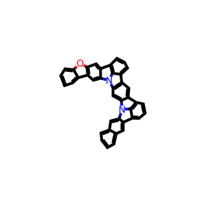 c1ccc2cc3c(cc2c1)c1cccc2c4cc5c6cccc7c8cc9oc%10ccccc%10c9cc8n(c5cc4n3c12)c76